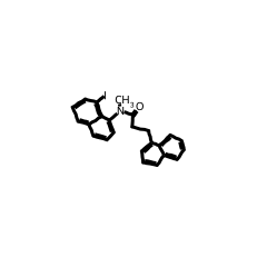 CN(C(=O)CCc1cccc2ccccc12)c1cccc2cccc(I)c12